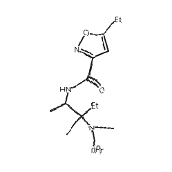 CCCN(C)C(C)(CC)C(C)NC(=O)c1cc(CC)on1